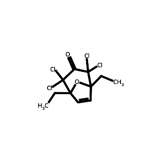 CCC12C=CC(CC)(O1)C(Cl)(Cl)C(=O)C2(Cl)Cl